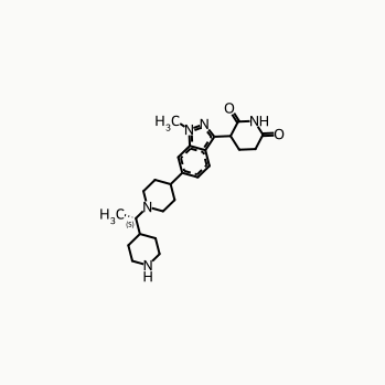 C[C@@H](C1CCNCC1)N1CCC(c2ccc3c(C4CCC(=O)NC4=O)nn(C)c3c2)CC1